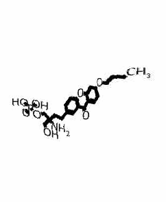 CCCCOc1ccc2c(=O)c3cc(CCC(N)(CO)COP(=O)(O)O)ccc3oc2c1